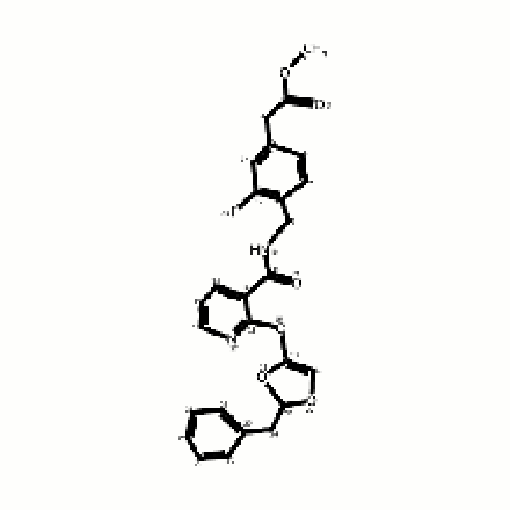 COC(=O)Cc1ccc(CNC(=O)c2cccnc2OC2=COC(Cc3ccccc3)O2)c(F)c1